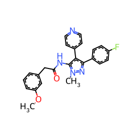 COc1cccc(CC(=O)Nc2c(-c3ccncc3)c(-c3ccc(F)cc3)nn2C)c1